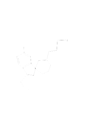 CCN1CC2(CCCN(CCCN)C2)c2cc(F)ccc21